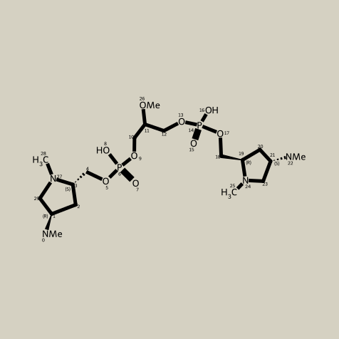 CN[C@@H]1C[C@@H](COP(=O)(O)OCC(COP(=O)(O)OC[C@H]2C[C@H](NC)CN2C)OC)N(C)C1